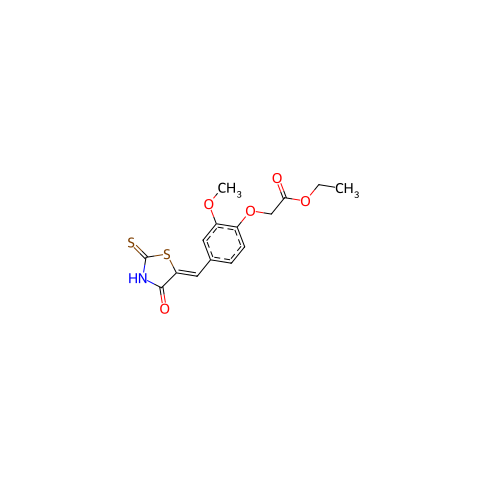 CCOC(=O)COc1ccc(/C=C2\SC(=S)NC2=O)cc1OC